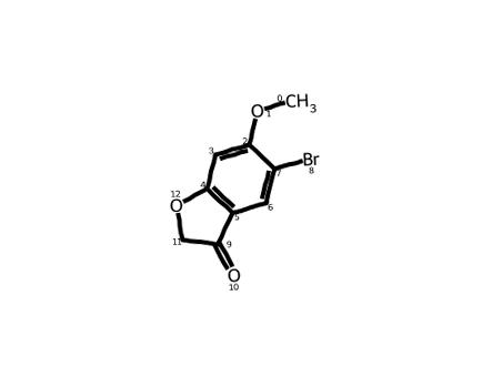 COc1cc2c(cc1Br)C(=O)CO2